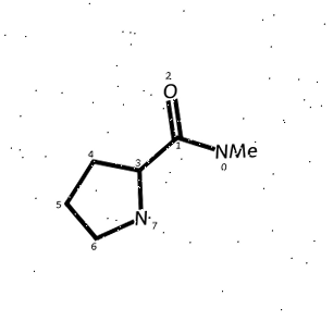 CNC(=O)C1CCC[N]1